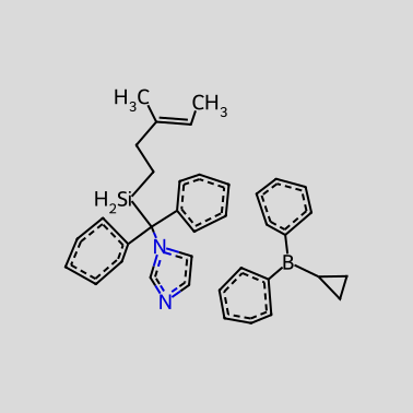 CC=C(C)CC[SiH2]C(c1ccccc1)(c1ccccc1)n1ccnc1.c1ccc(B(c2ccccc2)C2CC2)cc1